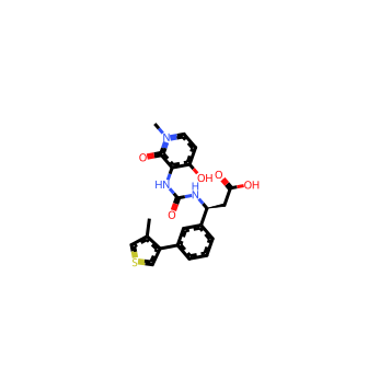 Cc1cscc1-c1cccc([C@H](CC(=O)O)NC(=O)Nc2c(O)ccn(C)c2=O)c1